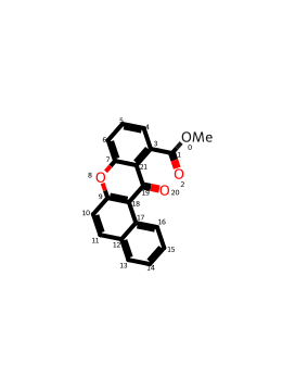 COC(=O)c1cccc2oc3ccc4ccccc4c3c(=O)c12